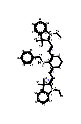 CCN1/C(=C/C=C2\CCCC(/C=C/C3=[N+](CC)c4ccccc4C3(C)C)=C2NCc2ccccc2)C(C)(C)c2ccccc21